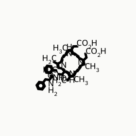 C=CC1=C(C)c2nc1cc1[nH]c(cc3nc(cc4[nH]c(c(C=C)c4C)c2C(=O)[C@H](Cc2ccccc2)NC(=O)[C@@H](N)Cc2ccccc2)C(C)=C3CCC(=O)O)c(CCC(=O)O)c1C